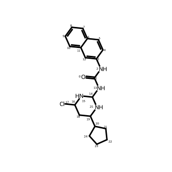 O=C(Nc1ccc2ccccc2c1)NC1NC(Cl)CC(C2CCCC2)N1